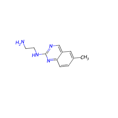 Cc1ccc2nc(NCCN)ncc2c1